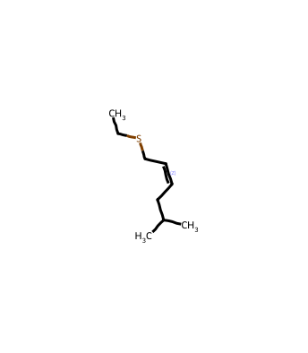 CCSC/C=C\CC(C)C